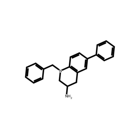 NC1Cc2cc(-c3ccccc3)ccc2N(Cc2ccccc2)C1